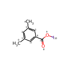 Cc1cc(C)cc(C(=O)OI)c1